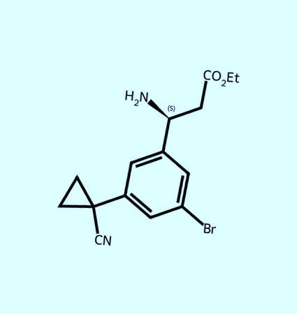 CCOC(=O)C[C@H](N)c1cc(Br)cc(C2(C#N)CC2)c1